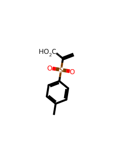 C=C(C(=O)O)S(=O)(=O)c1ccc(C)cc1